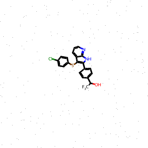 OC(c1ccc(-c2[nH]c3ncccc3c2Sc2ccc(Cl)cc2)cc1)C(F)(F)F